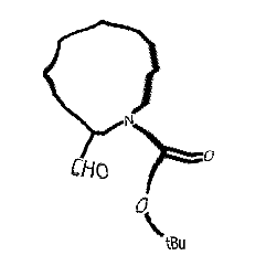 CC(C)(C)OC(=O)N1CCCCCC1C=O